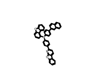 c1ccc2cc(-c3ccc(N(c4ccc(-c5ccc6c(n5)oc5ccccc56)cc4)c4cccc5oc6ccccc6c45)cc3)ccc2c1